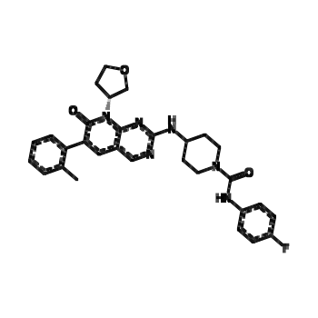 Cc1ccccc1-c1cc2cnc(NC3CCN(C(=O)Nc4ccc(F)cc4)CC3)nc2n([C@@H]2CCOC2)c1=O